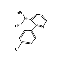 CCCN(CCC)c1cccnc1-c1ccc(Cl)cc1